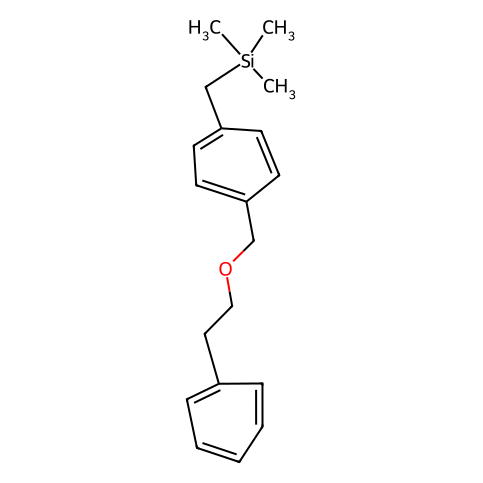 C[Si](C)(C)Cc1ccc(COCCc2ccccc2)cc1